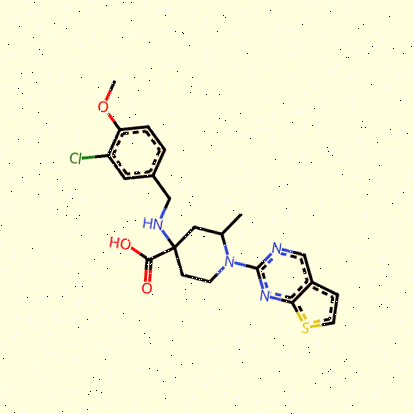 COc1ccc(CNC2(C(=O)O)CCN(c3ncc4ccsc4n3)C(C)C2)cc1Cl